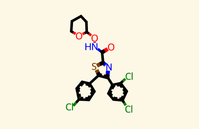 O=C(NOC1CCCCO1)c1nc(-c2ccc(Cl)cc2Cl)c(-c2ccc(Cl)cc2)s1